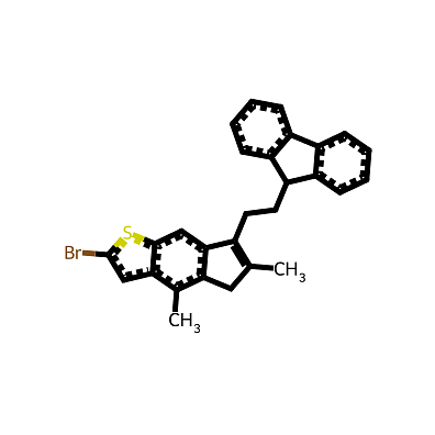 CC1=C(CCC2c3ccccc3-c3ccccc32)c2cc3sc(Br)cc3c(C)c2C1